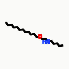 C=CCCCNCCOCCCCCCCCCCCC